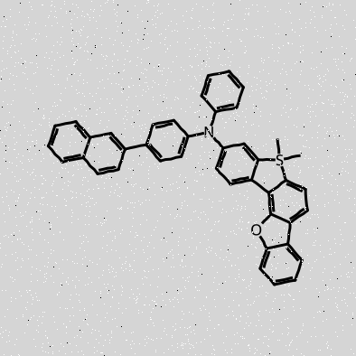 CS1(C)c2cc(N(c3ccccc3)c3ccc(-c4ccc5ccccc5c4)cc3)ccc2-c2c1ccc1c2oc2ccccc21